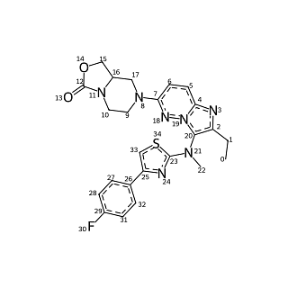 CCc1nc2ccc(N3CCN4C(=O)OCC4C3)nn2c1N(C)c1nc(-c2ccc(F)cc2)cs1